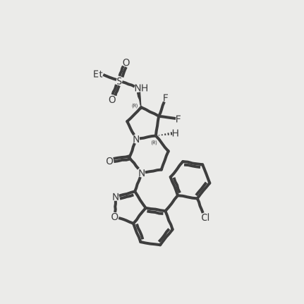 CCS(=O)(=O)N[C@@H]1CN2C(=O)N(c3noc4cccc(-c5ccccc5Cl)c34)CC[C@@H]2C1(F)F